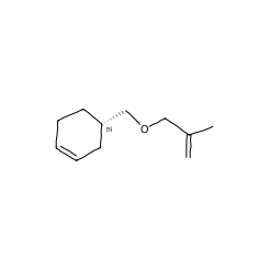 C=C(C)COC[C@@H]1CC=CCC1